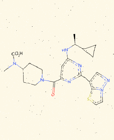 C[C@H](Nc1cc(C(=O)N2CCC(N(C)C(=O)O)CC2)nc(-c2cnn3ccsc23)n1)C1CC1